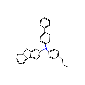 CCCc1ccc(N(c2ccc(-c3ccccc3)cc2)c2ccc3c(c2)Cc2ccccc2-3)cc1